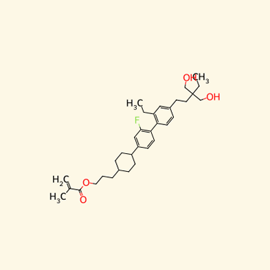 C=C(C)C(=O)OCCCC1CCC(c2ccc(-c3ccc(CCC(CC)(CO)CO)cc3CC)c(F)c2)CC1